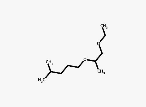 CCOCC(C)OCCCC(C)C